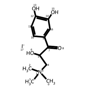 C[N+](C)(C)CC(O)C(=O)c1ccc(O)c(O)c1.[I-]